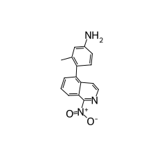 Cc1cc(N)ccc1-c1cccc2c([N+](=O)[O-])nccc12